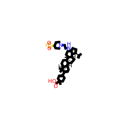 C=C(C)[C@@H]1CC[C@]2(NCCN3CCC([SH](=O)=O)CC3)CC[C@]3(C)[C@H](CC[C@@H]4[C@@]5(C)CC=C(C6=CCC(C)(C(=O)O)CC6)C(C)(C)[C@@H]5CC[C@]43C)[C@@H]12